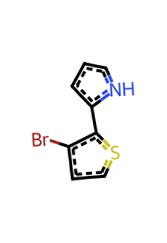 Brc1ccsc1-c1ccc[nH]1